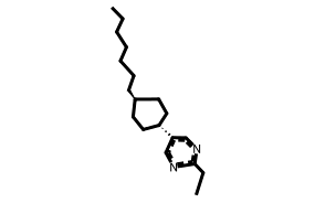 CCCCCCC[C@H]1CC[C@H](c2cnc(CC)nc2)CC1